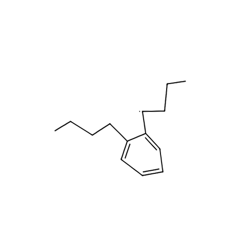 CCC[CH]c1ccccc1CCCC